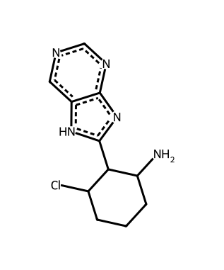 NC1CCCC(Cl)C1c1nc2ncncc2[nH]1